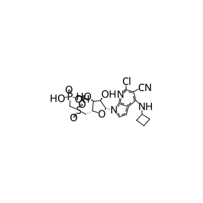 N#Cc1c(Cl)nc2c(ccn2[C@@H]2O[C@H](CS(=O)(=O)CP(=O)(O)O)[C@@H](O)[C@H]2O)c1NC1CCC1